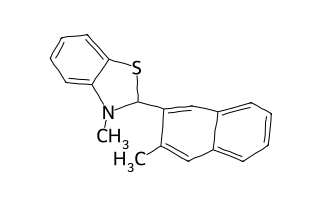 Cc1cc2ccccc2cc1C1Sc2ccccc2N1C